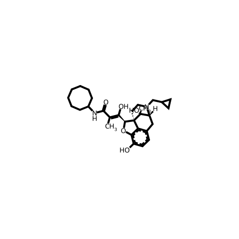 C/C(C(=O)NC1CCCCCCC1)=C(/O)[C@@H]1Oc2c(O)ccc3c2[C@@]12CCN(CC1CC1)[C@H](C3)[C@@]2(C)O